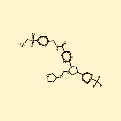 CCS(=O)(=O)c1ccc(CNC(=O)c2cnc(N3CC(c4ccc(C(F)(F)F)cc4)C[C@H]3COC3CCOC3)nc2)cc1